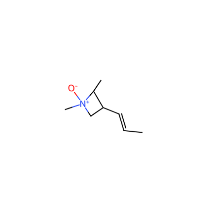 CC=CC1C[N+](C)([O-])C1C